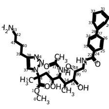 COC(=O)C(C)(CC(O)C(NC(C)=O)C(C)C(O)[C@H](O)CNC(=O)c1ccc(-c2ccccc2)cc1)n1cc(CCCCN)nn1